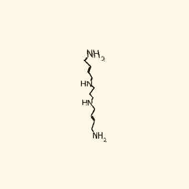 NC/C=C/CNCCCNC/C=C/CN